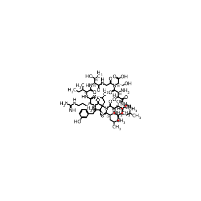 CCC(C)[C@H](NC(=O)[C@@H](CCCNC(=N)N)NC(=O)[C@@](CC(C)C)(C(=O)[C@@H](N)Cc1cccc(O)c1)N(C(=O)[C@H](CC(C)C)NC(=O)[C@@H](CC(C)C)NC)C(=O)[C@@H](N)[C@H](O)C(C)C)C(=O)N[C@H](C(=O)NCC(=O)N(C(=O)[C@@H](N)[C@H](O)C(N)=O)[C@@H](CO)C(=O)O)[C@H](C)O